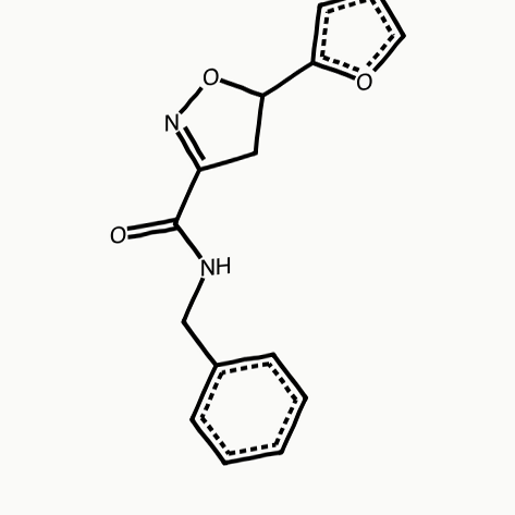 O=C(NCc1ccccc1)C1=NOC(c2ccco2)C1